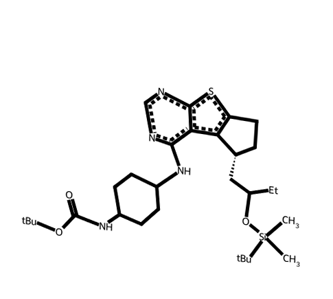 CCC(C[C@H]1CCc2sc3ncnc(NC4CCC(NC(=O)OC(C)(C)C)CC4)c3c21)O[Si](C)(C)C(C)(C)C